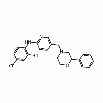 Clc1ccc(Nc2ccc(CN3CCOC(c4ccccc4)C3)cn2)c(Cl)c1